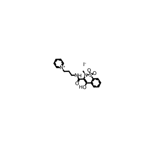 CN1C(C(=O)NCCC[n+]2ccccc2)=C(O)c2ccccc2S1(=O)=O.[I-]